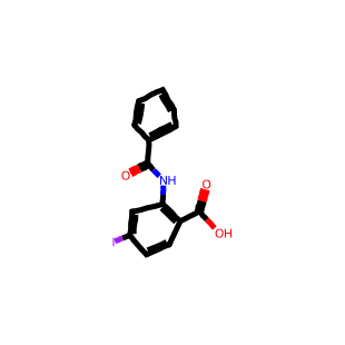 O=C(Nc1cc(I)ccc1C(=O)O)c1ccccc1